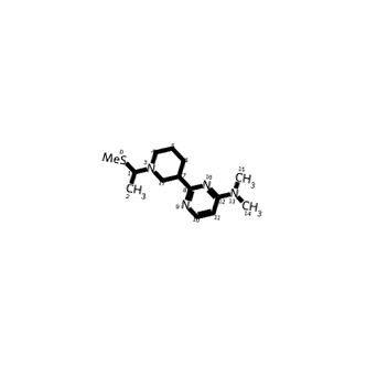 CSC(C)N1CCCC(c2nccc(N(C)C)n2)C1